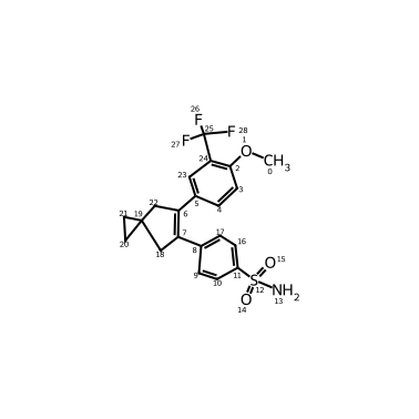 COc1ccc(C2=C(c3ccc(S(N)(=O)=O)cc3)CC3(CC3)C2)cc1C(F)(F)F